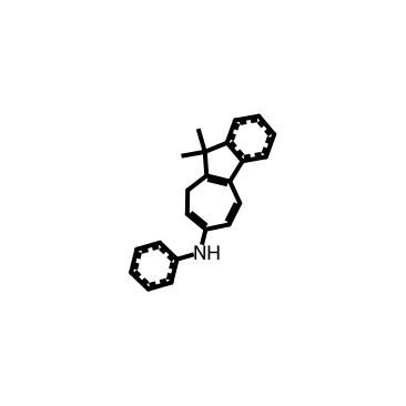 CC1(C)C2=C(C=CC(Nc3ccccc3)=CC2)c2ccccc21